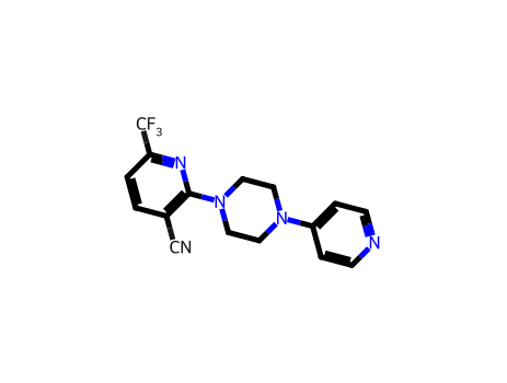 N#Cc1ccc(C(F)(F)F)nc1N1CCN(c2ccncc2)CC1